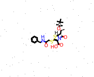 C[C@H](O[Si](C)(C)C(C)(C)C)[C@@H]1C(=O)N2C(C(=O)O)=C(SCC(=O)NCc3ccccc3)S[C@H]12